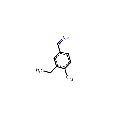 CCc1cc(C=N)ccc1C